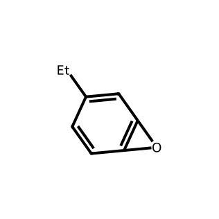 CCc1ccc2c(c1)O2